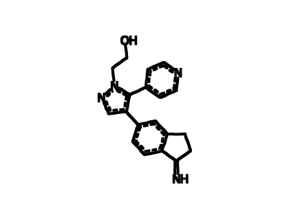 N=C1CCc2cc(-c3cnn(CCO)c3-c3ccncc3)ccc21